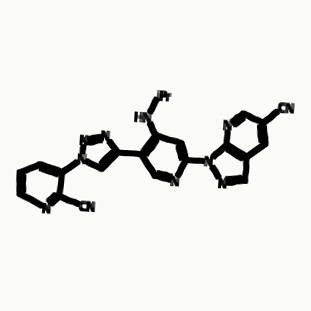 CC(C)Nc1cc(-n2ncc3cc(C#N)cnc32)ncc1-c1cn(-c2cccnc2C#N)nn1